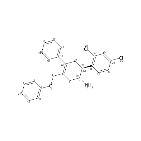 N[C@@H]1CC(COc2ccncc2)=C(c2cccnc2)C[C@H]1c1ccc(Cl)cc1Cl